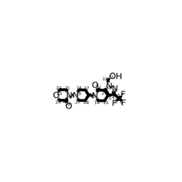 O=C1c2c(c(C(F)(F)F)nn2CO)CCN1C1CCN(N2CCOCC2=O)CC1